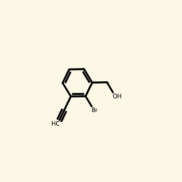 C#Cc1cccc([CH]O)c1Br